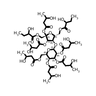 CCC(O)C(=O)OC[C@H]1O[C@@](COC(=O)C(O)CC)(OC(=O)CC(C)O)[C@@H](OC(=O)CC(C)O)[C@@H]1O[C@@H]1O[C@H](COC(=O)CC(C)O)[C@H](OC(=O)CC(C)O)[C@H](OC(=O)CC(C)O)[C@H]1OC(=O)CC(C)O